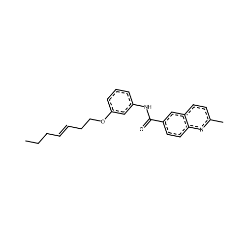 CCCC=CCCOc1cccc(NC(=O)c2ccc3nc(C)ccc3c2)c1